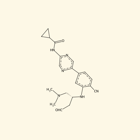 CN(C)C[C@@H](CC=O)Nc1cc(-c2cnc(NC(=O)C3CC3)cn2)ccc1C#N